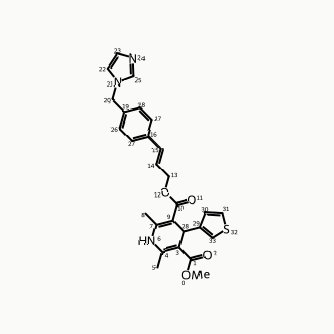 COC(=O)C1=C(C)NC(C)=C(C(=O)OCC=Cc2ccc(Cn3ccnc3)cc2)C1c1ccsc1